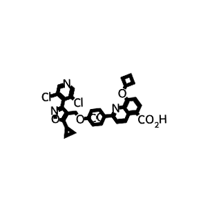 O=C(O)c1ccc(OC2CCC2)c2nc(C34CCC(OCc5c(-c6c(Cl)cncc6Cl)noc5C5CC5)(CC3)CC4)ccc12